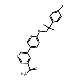 CC(C)(CNc1ncc(-c2cncc(C(N)=O)c2)cn1)c1ccc(F)cc1